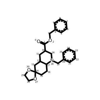 O=C(OCc1ccccc1)C1CC2CC3(CCC2N(Cc2ccccc2)C1)OCCO3